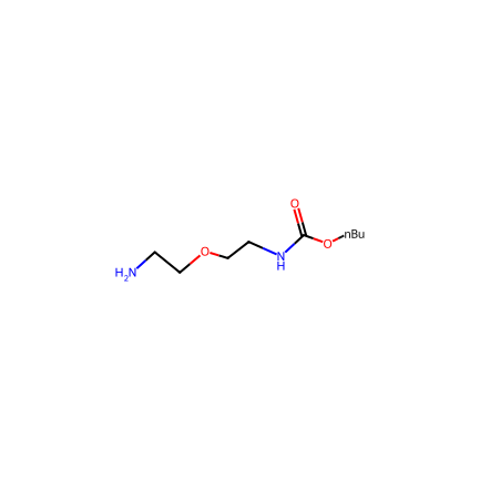 CCCCOC(=O)NCCOCCN